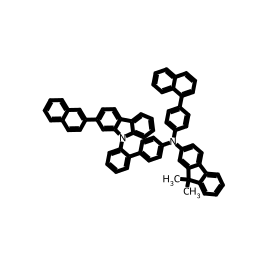 CC1(C)c2ccccc2-c2ccc(N(c3ccc(-c4ccccc4-n4c5ccccc5c5ccc(-c6ccc7ccccc7c6)cc54)cc3)c3ccc(-c4cccc5ccccc45)cc3)cc21